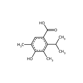 Cc1cc(C(=O)O)c(C(C)C)c(C)c1O